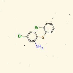 Nc1cc(Br)ccc1Sc1ccccc1Br